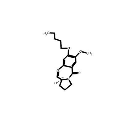 CCCCCOc1cc2c(cc1OC)C(=O)N1CCC[C@H]1C=N2